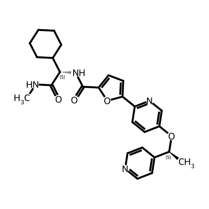 CNC(=O)[C@@H](NC(=O)c1ccc(-c2ccc(O[C@@H](C)c3ccncc3)cn2)o1)C1CCCCC1